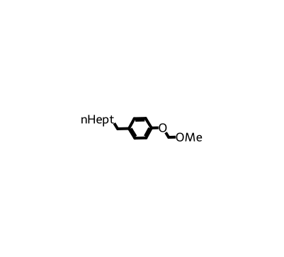 CCCCCCCCc1ccc(OCOC)cc1